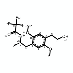 COc1cc(C[C@@H](C)NC(=O)C(F)(F)F)c(OC)cc1CCO